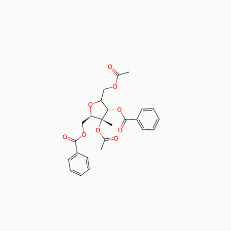 CC(=O)OCC1O[C@H](COC(=O)c2ccccc2)[C@@](C)(OC(C)=O)[C@H]1OC(=O)c1ccccc1